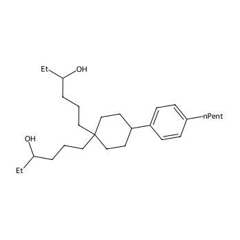 CCCCCc1ccc(C2CCC(CCCC(O)CC)(CCCC(O)CC)CC2)cc1